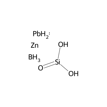 B.O=[Si](O)O.[PbH2].[Zn]